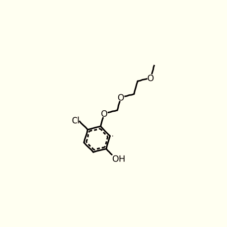 COCCOCOc1[c]c(O)ccc1Cl